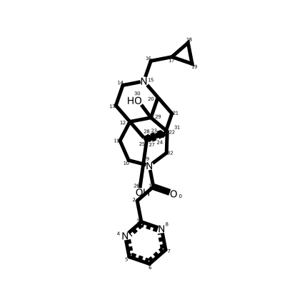 O=C(Cc1ncccn1)N1CCC23CCN(CC4CC4)C(Cc4ccc(O)cc42)C3(O)CC1